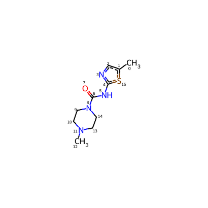 Cc1cnc(NC(=O)N2CCN(C)CC2)s1